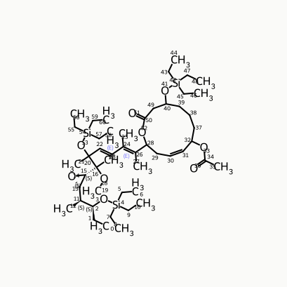 CC[C@H](O[Si](CC)(CC)CC)[C@@H](C)[C@@H]1O[C@@H]1C(C)(OC)C(C)(/C=C/C(C)=C(\C)C1CC=CC(OC(C)=O)CCCC(O[Si](CC)(CC)CC)CC(=O)O1)O[Si](CC)(CC)CC